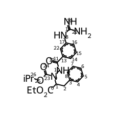 CCOC(=O)C(Cc1ccccc1)N(NC(=O)c1cccc(NC(=N)N)c1)C(=O)OC(C)C